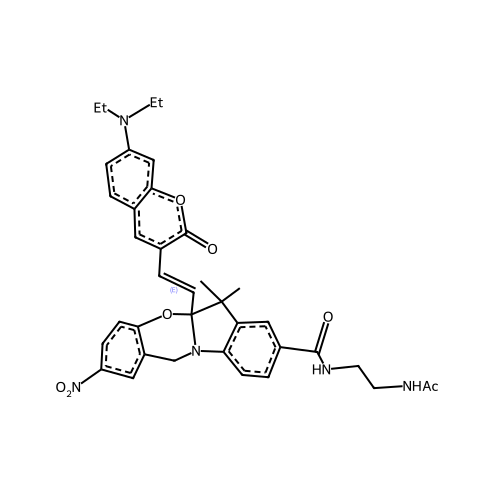 CCN(CC)c1ccc2cc(/C=C/C34Oc5ccc([N+](=O)[O-])cc5CN3c3ccc(C(=O)NCCNC(C)=O)cc3C4(C)C)c(=O)oc2c1